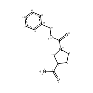 NC(=O)C1CCN(C(=O)OCc2ccccc2)C1